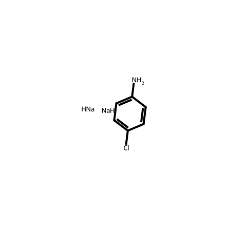 Nc1ccc(Cl)cc1.[NaH].[NaH]